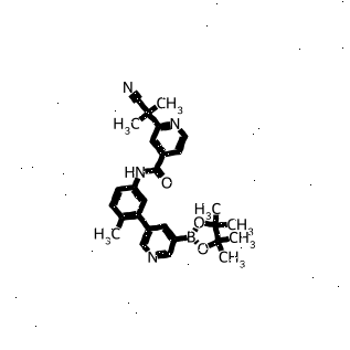 Cc1ccc(NC(=O)c2ccnc(C(C)(C)C#N)c2)cc1-c1cncc(B2OC(C)(C)C(C)(C)O2)c1